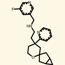 Fc1cncc(CNCCC2(c3ccccn3)CCOC3(CC4CC4C3)C2)c1